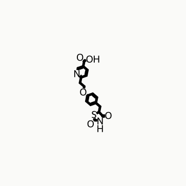 O=C1NC(=O)C(Cc2ccc(OCCc3ccc(C(=O)O)cn3)cc2)S1